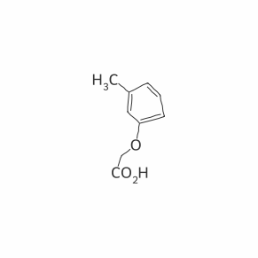 Cc1cccc(OCC(=O)O)c1